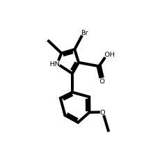 COc1cccc(-c2[nH]c(C)c(Br)c2C(=O)O)c1